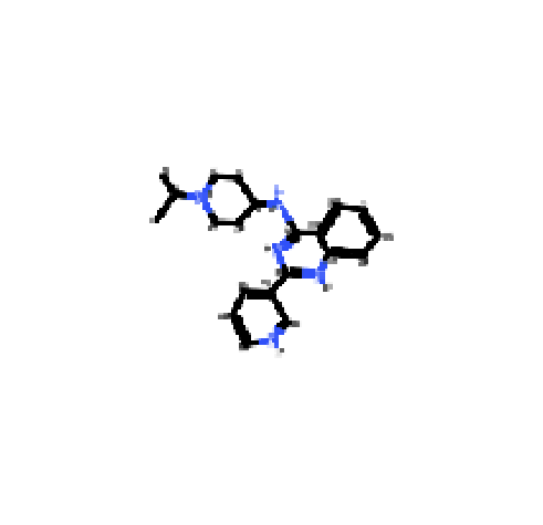 CC(C)N1CCC(Nc2nc(-c3cccnc3)nc3ccccc23)CC1